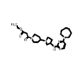 CCOC(=O)CC(=O)N1CCC(N2CCC(Nc3nccc(N4CCCCCC4)n3)C2)CC1